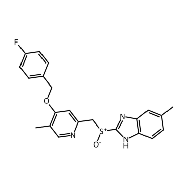 Cc1ccc2[nH]c([S+]([O-])Cc3cc(OCc4ccc(F)cc4)c(C)cn3)nc2c1